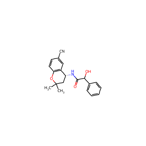 CC1(C)C[C@@H](NC(=O)C(O)c2ccccc2)c2cc(C#N)ccc2O1